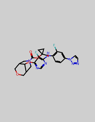 CC1(OC(=O)N2CC3COCC(C2)C3Oc2ncnc(Nc3ccc(-n4ccnn4)cc3F)c2F)CC1